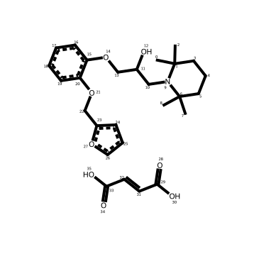 CC1(C)CCCC(C)(C)N1CC(O)COc1ccccc1OCc1ccco1.O=C(O)/C=C/C(=O)O